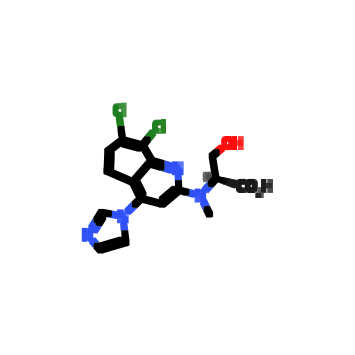 CN(c1cc(-n2ccnc2)c2ccc(Cl)c(Cl)c2n1)[C@@H](CO)C(=O)O